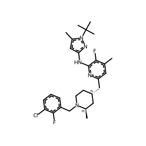 Cc1cc(C[C@H]2CCN(Cc3cccc(Cl)c3F)[C@H](C)C2)nc(Nc2cc(C)n(C(C)(C)C)n2)c1F